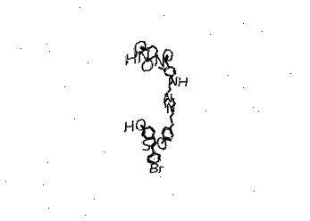 O=C1CCC(N2Cc3cc(NCCCN4CCN(CCCc5ccc(Oc6c(-c7ccc(Br)cc7)sc7cc(O)ccc67)cc5)CC4)ccc3C2=O)C(=O)N1